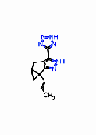 CC=CC12CC1Cc1c2n[nH]c1-c1nn[nH]n1